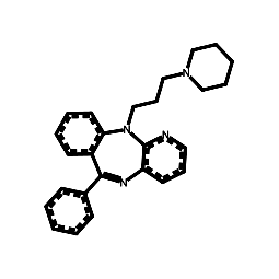 c1ccc(C2=Nc3cccnc3N(CCCN3CCCCC3)c3ccccc32)cc1